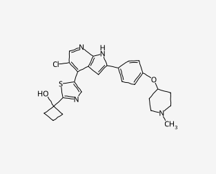 CN1CCC(Oc2ccc(-c3cc4c(-c5cnc(C6(O)CCC6)s5)c(Cl)cnc4[nH]3)cc2)CC1